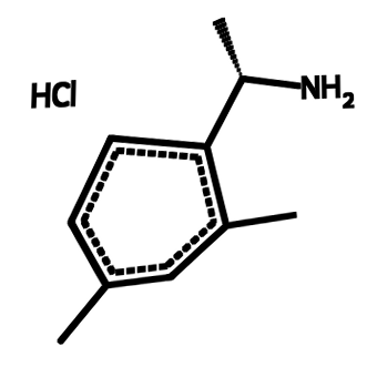 Cc1ccc([C@H](C)N)c(C)c1.Cl